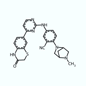 CN1CC2CC1CN2c1ccc(Nc2nccc(-c3ccc4c(c3)SCC(=O)N4)n2)cc1C#N